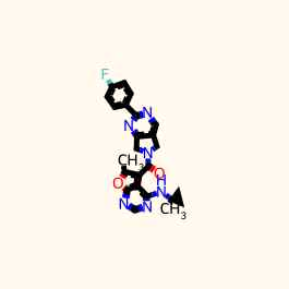 Cc1oc2ncnc(NC3(C)CC3)c2c1C(=O)N1Cc2cnc(-c3ccc(F)cc3)nc2C1